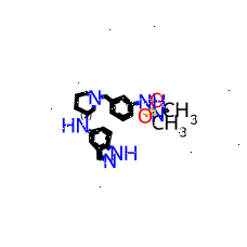 CN(C)S(=O)(=O)Nc1cccc(CN2CCC[C@H](Nc3ccc4[nH]ncc4c3)C2)c1